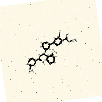 COC(=O)c1ccc(-c2cccc(C(CC(=O)c3ccnc(C)c3)c3ccccc3C)c2)cc1F